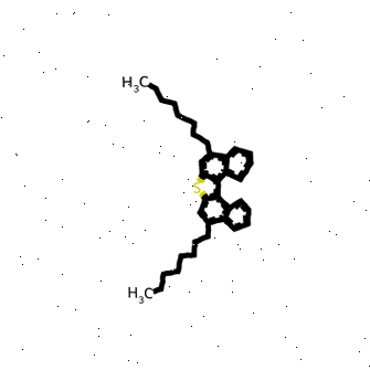 CCCCCCCCc1cc2sc3cc(CCCCCCCC)c4ccccc4c3c2c2ccccc12